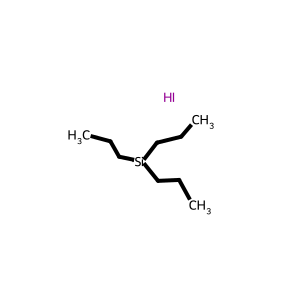 CCC[Si](CCC)CCC.I